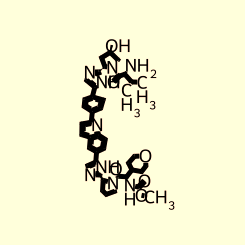 COC(=O)N[C@H](C(=O)N1CCC[C@H]1c1ncc(-c2ccc3nc(-c4ccc(-c5cnc([C@@H]6C[C@@H](O)CN6C(=O)[C@@H](N)C(C)C)[nH]5)cc4)ccc3c2)[nH]1)C1CCOCC1